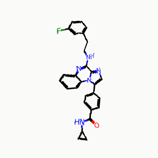 O=C(NC1CC1)c1ccc(-c2cnc3c(NCCc4cccc(F)c4)nc4ccccc4n23)cc1